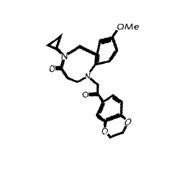 COc1ccc2c(c1)CN(C1CC1)C(=O)CCN2CC(=O)c1ccc2c(c1)OCCO2